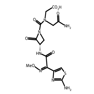 CON=C(C(=O)N[C@H]1CN(C(=O)N(CC(N)=O)CC(=O)O)C1=O)c1csc(N)n1